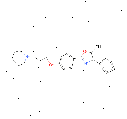 CC1OC(c2ccc(OCCCN3CCCCC3)cc2)=NC1c1ccccc1